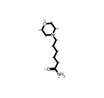 NC(=O)CCCCCN1CCOCC1